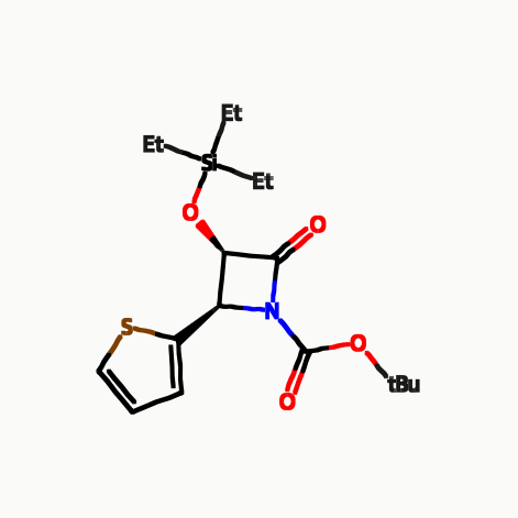 CC[Si](CC)(CC)O[C@H]1C(=O)N(C(=O)OC(C)(C)C)[C@H]1c1cccs1